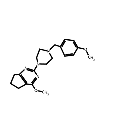 COc1ccc(CN2CCN(c3nc4c(c(OC)n3)CCC4)CC2)cc1